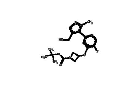 Cn1ncc(CO)c1-c1cc(OC2CN(C(=O)OC(C)(C)C)C2)c(F)cn1